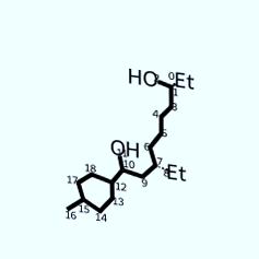 CC[C@@H](O)CCCC[C@H](CC)CC(O)C1CCC(C)CC1